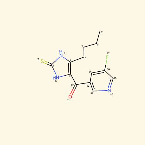 CCCCc1[nH]c(=S)[nH]c1C(=O)c1cncc(F)c1